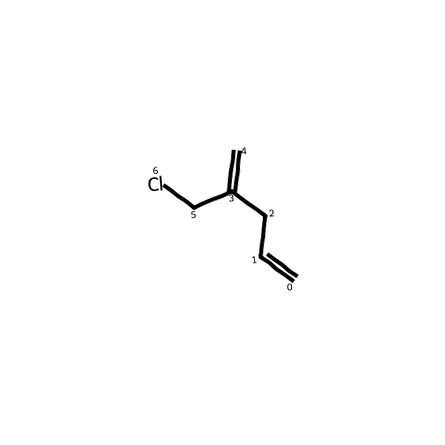 C=CCC(=C)CCl